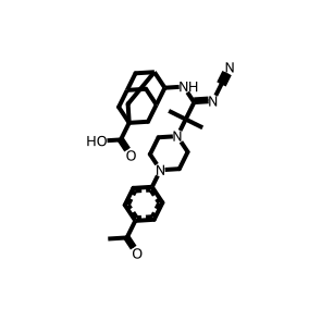 CC(=O)c1ccc(N2CCN(C(C)(C)/C(=N/C#N)NC3C4CC5CC3CC(C(=O)O)(C5)C4)CC2)cc1